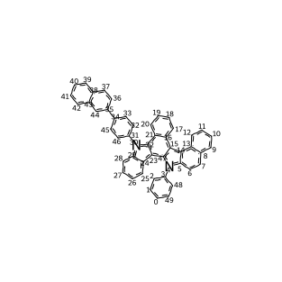 c1ccc(-n2c3ccc4ccccc4c3c3c4ccccc4c4c(c5ccccc5n4-c4ccc(-c5ccc6ccccc6c5)cc4)c32)cc1